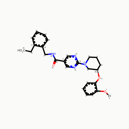 CCOc1ccccc1O[C@@H]1CCCN(c2ncc(C(=O)NCc3ccccc3CC(=O)O)cn2)C1